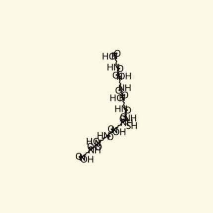 CC(=O)N(O)CCCCCNC(=O)CCC(=O)N(O)CCCCCNC(=O)CCC(=O)N(O)CCCCCNC(=O)CCC(=O)NC(CCS)C(=O)NCCCCCN(O)C(=O)CCC(=O)NCCCCCN(O)C(=O)CCC(=O)NCCCCCN(O)C(C)=O